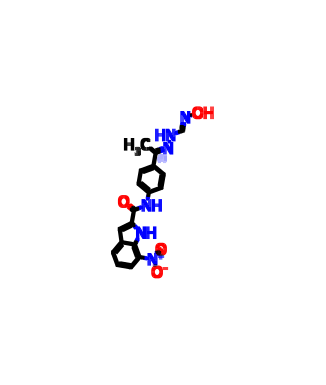 C/C(=N\NC=NO)c1ccc(NC(=O)c2cc3cccc([N+](=O)[O-])c3[nH]2)cc1